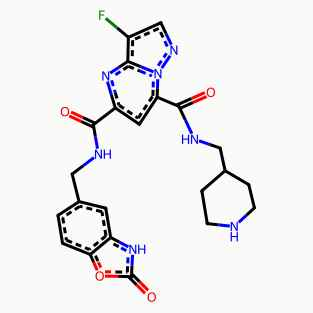 O=C(NCc1ccc2oc(=O)[nH]c2c1)c1cc(C(=O)NCC2CCNCC2)n2ncc(F)c2n1